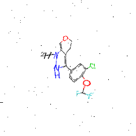 [2H]N1NC(c2ccc(OC(F)F)c(Cl)c2)=C2CCOC=C21